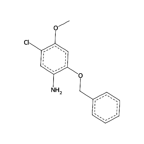 COc1cc(OCc2ccccc2)c(N)cc1Cl